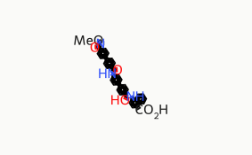 CON(C)C(=O)c1ccc(-c2ccc(C(=O)Nc3ccc(-c4ccc(C(O)Nc5ccc(C(=O)O)c6ccccc56)cc4)cc3)cc2)cc1